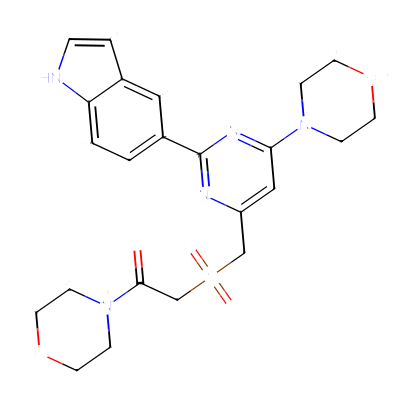 O=C(CS(=O)(=O)Cc1cc(N2CCOCC2)nc(-c2ccc3[nH]ccc3c2)n1)N1CCOCC1